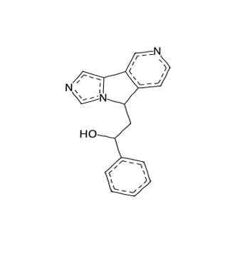 OC(CC1c2ccncc2-c2cncn21)c1ccccc1